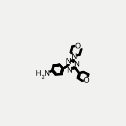 Nc1ccc(-c2nc(C3=CCOCC3)nc(N3CCOCC3)n2)cc1